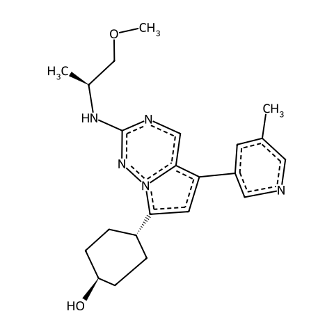 COC[C@H](C)Nc1ncc2c(-c3cncc(C)c3)cc([C@H]3CC[C@H](O)CC3)n2n1